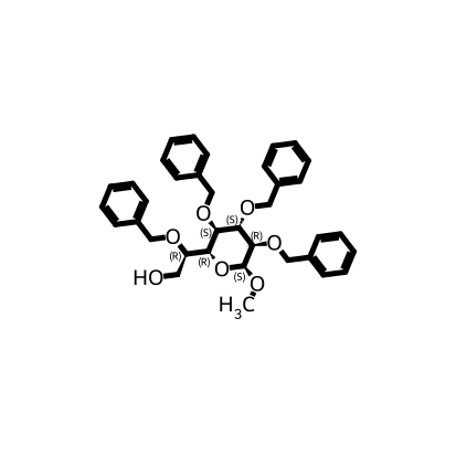 CO[C@H]1O[C@H]([C@@H](CO)OCc2ccccc2)[C@@H](OCc2ccccc2)[C@H](OCc2ccccc2)[C@H]1OCc1ccccc1